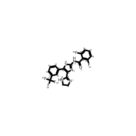 O=C(Nc1nc(C2=NCCN2)c(-c2cccc(C(F)(F)F)c2)s1)c1c(F)cccc1F